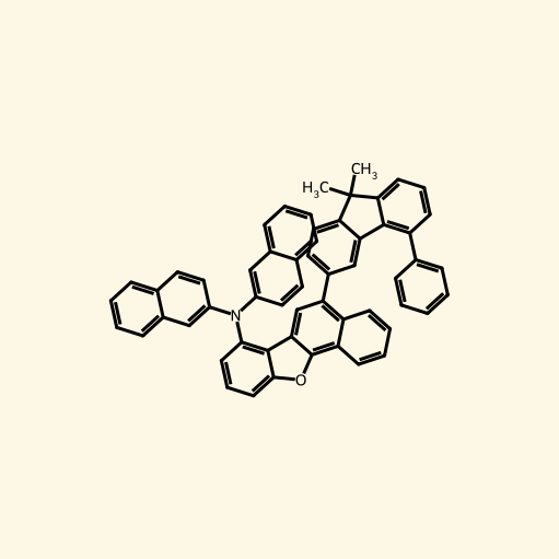 CC1(C)c2ccc(-c3cc4c(oc5cccc(N(c6ccc7ccccc7c6)c6ccc7ccccc7c6)c54)c4ccccc34)cc2-c2c(-c3ccccc3)cccc21